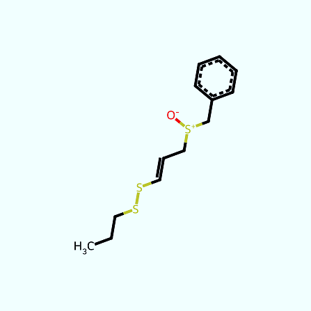 CCCSS/C=C/C[S+]([O-])Cc1ccccc1